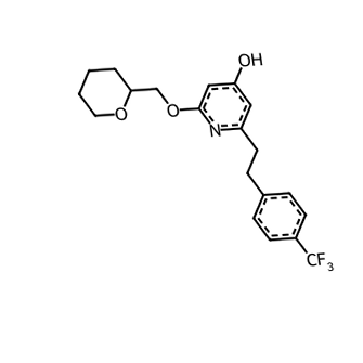 Oc1cc(CCc2ccc(C(F)(F)F)cc2)nc(OCC2CCCCO2)c1